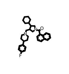 O=C(c1cccc2ccccc12)N1CC(CN2CCC(c3ccc(F)cc3)CC2)C(C2CCCCC2)C1